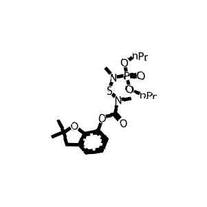 CCCOP(=O)(OCCC)N(C)SN(C)C(=O)Oc1cccc2c1OC(C)(C)C2